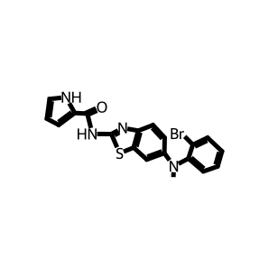 CN(c1ccc2nc(NC(=O)c3ccc[nH]3)sc2c1)c1ccccc1Br